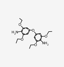 CCOc1cc(Oc2cc(OCC)c(N)c(OCC)c2)cc(OCC)c1N